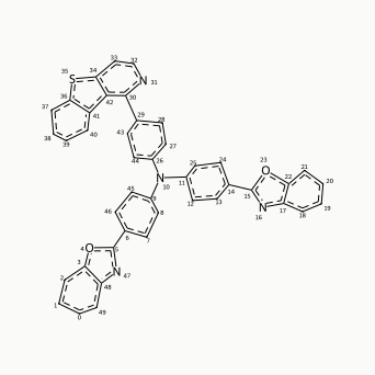 c1ccc2oc(-c3ccc(N(c4ccc(-c5nc6ccccc6o5)cc4)c4ccc(-c5nccc6sc7ccccc7c56)cc4)cc3)nc2c1